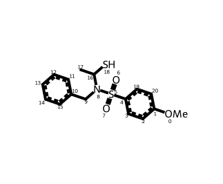 COc1ccc(S(=O)(=O)N(Cc2ccccc2)C(C)S)cc1